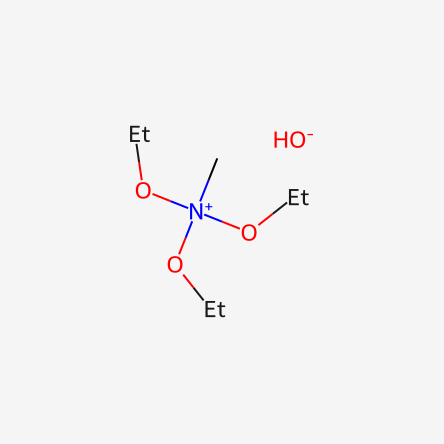 CCO[N+](C)(OCC)OCC.[OH-]